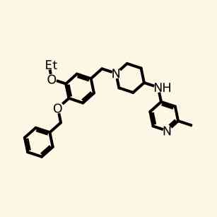 CCOc1cc(CN2CCC(Nc3ccnc(C)c3)CC2)ccc1OCc1ccccc1